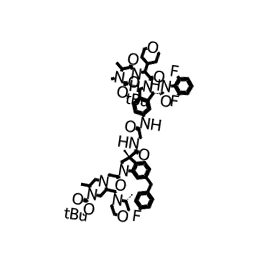 CC(C(=O)NC(C(=O)N1Cc2ccc(NC(=O)CNC(=O)[C@@]3(C)CN(C(=O)CN4CC(C)N(C(=O)OC(C)(C)C)CC4CN4CCOC[C@H]4C)c4cc(Cc5ccc(F)cc5)ccc43)cc2[C@H]1C(=O)Nc1c(F)cccc1F)C1CCOCC1)N(C)C(=O)OC(C)(C)C